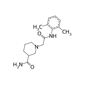 Cc1cccc(C)c1NC(=O)CN1CCCC(C(N)=O)C1